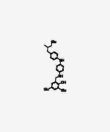 CC(Cc1ccc(Nc2ccc(NCc3cc(C(C)(C)C)cc(C(C)(C)C)c3O)cc2)cc1)CC(C)(C)C